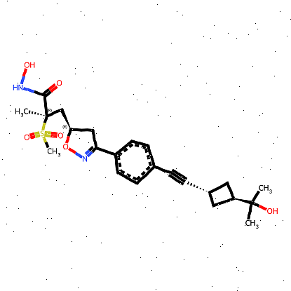 CC(C)(O)[C@H]1C[C@H](C#Cc2ccc(C3=NO[C@@H](C[C@](C)(C(=O)NO)S(C)(=O)=O)C3)cc2)C1